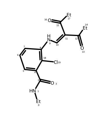 CCNC(=O)c1cccc(NC=C(C(=O)CC)C(=O)CC)c1Cl